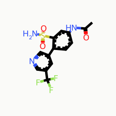 CC(=O)Nc1ccc(-c2cncc(C(F)(F)F)c2)c(S(N)(=O)=O)c1